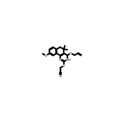 C=CCOC1NC(SCC#N)=NC2=C1C(C)(C)Cc1ccc(OC)cc12